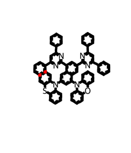 c1ccc(-c2cc(-c3ccccc3)nc(-c3cc(-c4nc(-c5ccccc5)cc(-c5ccccc5)n4)c4cc(N5c6ccccc6Sc6ccccc65)cc(N5c6ccccc6Oc6ccccc65)c4c3)n2)cc1